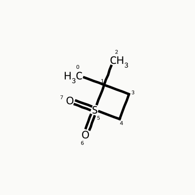 CC1(C)CCS1(=O)=O